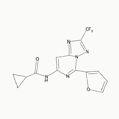 O=C(Nc1cc2nc(C(F)(F)F)nn2c(-c2ccco2)n1)C1CC1